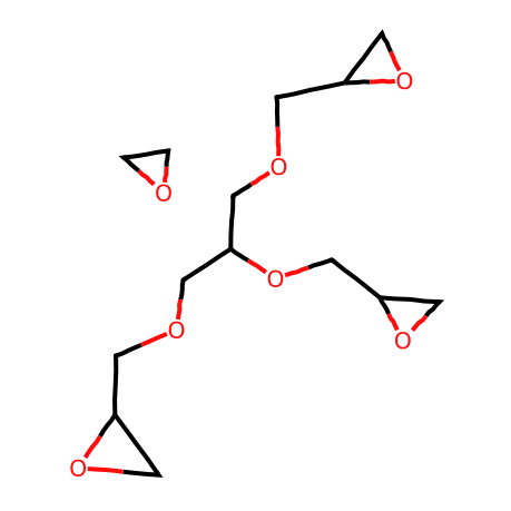 C(OCC1CO1)C(COCC1CO1)OCC1CO1.C1CO1